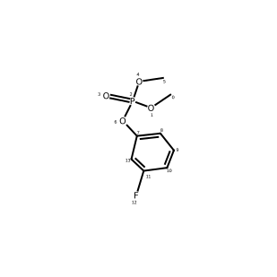 COP(=O)(OC)Oc1cccc(F)c1